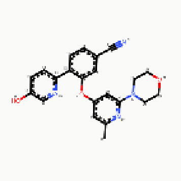 Cc1cc(Oc2cc(C#N)ccc2-c2ccc(O)cn2)cc(N2CCOCC2)n1